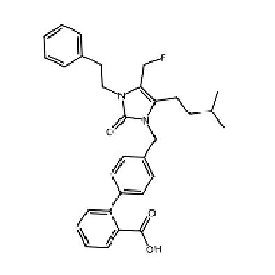 CC(C)CCc1c(CF)n(CCc2ccccc2)c(=O)n1Cc1ccc(-c2ccccc2C(=O)O)cc1